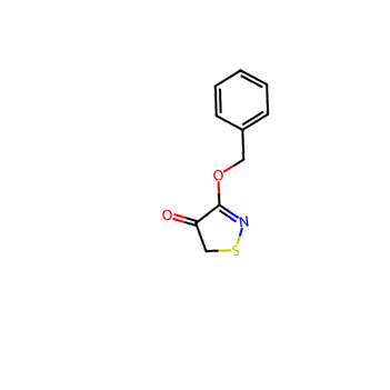 O=C1CSN=C1OCc1ccccc1